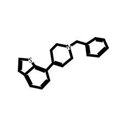 C1=C(c2cccc3ccsc23)CCN(Cc2ccccc2)C1